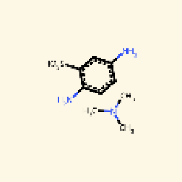 CN(C)C.Nc1ccc(N)c(S(=O)(=O)O)c1